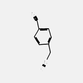 [C-]#[N+]Cc1ccc(C#N)cc1